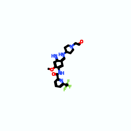 COC1=CC(=N)/C(=C\NC2CCN(CC=O)CC2)C=C1NC(=O)c1cccc(C(F)(F)F)n1